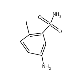 Nc1ccc(I)c(S(N)(=O)=O)c1